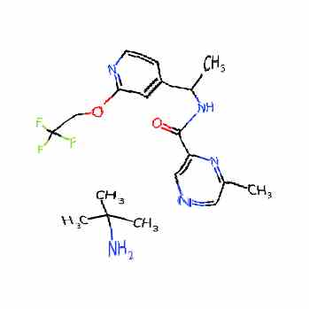 CC(C)(C)N.Cc1cncc(C(=O)NC(C)c2ccnc(OCC(F)(F)F)c2)n1